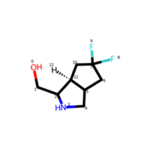 OCC1NCC2CC(F)(F)C[C@@H]21